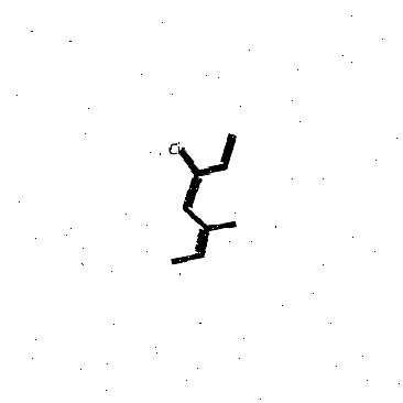 C=C/C(Cl)=C\C(C)=C/C